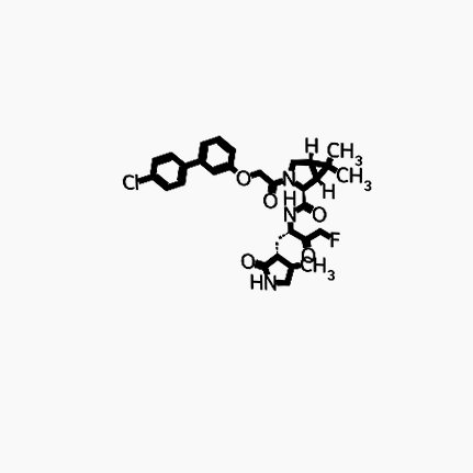 CC1CNC(=O)[C@@H]1C[C@H](NC(=O)[C@@H]1[C@@H]2[C@H](CN1C(=O)COc1cccc(-c3ccc(Cl)cc3)c1)C2(C)C)C(=O)CF